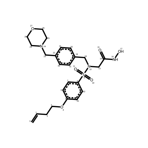 C=CCCOc1ccc(S(=O)(=O)N(CC(=O)NO)Cc2ccc(CN3CCOCC3)cc2)cc1